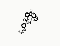 COc1cccc(NC(=O)Nc2cccc3c2C2CC4(CCN2C3=O)SCCS4)c1